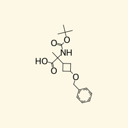 CC(C)(C)OC(=O)NC(C)(C(=O)O)C1CC(OCc2ccccc2)C1